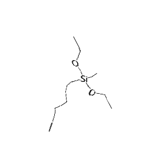 CCO[Si](C)(CCCI)OCC